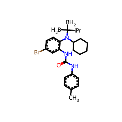 BC(B)(C(C)C)N(c1ccc(Br)cc1NC(=O)Nc1ccc(C)cc1)C1CCCCC1